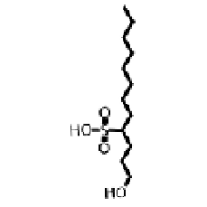 CCCCCCCCC(CCCO)S(=O)(=O)O